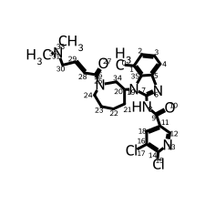 Cc1cccc2nc(NC(=O)c3cnc(Cl)c(Cl)c3)n(C3CCCCN(C(=O)/C=C/CN(C)C)C3)c12